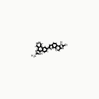 CCc1nc2c([nH]1)-c1ccc3cc(-c4ccc5c(c4)c4cnncc4c4nc(C)[nH]c54)sc3c1OC2